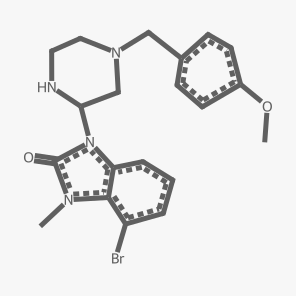 COc1ccc(CN2CCNC(n3c(=O)n(C)c4c(Br)cccc43)C2)cc1